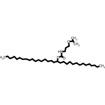 CCCCCCCCCCCCCCCCCC(CCCCCCCCCCCCCC)OC(=O)NCCCOC(C)C